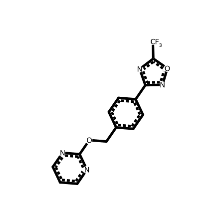 FC(F)(F)c1nc(-c2ccc(COc3ncccn3)cc2)no1